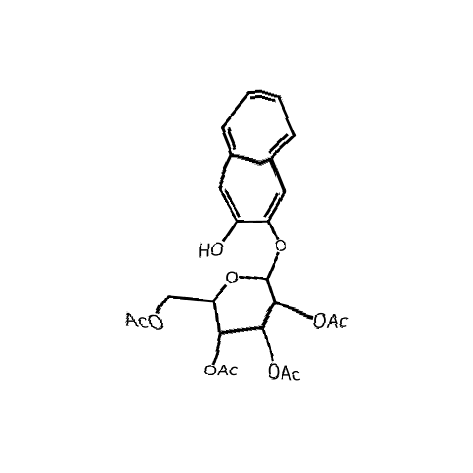 CC(=O)OCC1OC(Oc2cc3ccccc3cc2O)C(OC(C)=O)C(OC(C)=O)C1OC(C)=O